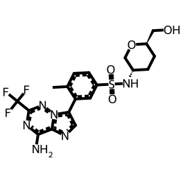 Cc1ccc(S(=O)(=O)N[C@H]2CC[C@H](CO)OC2)cc1-c1cnc2c(N)nc(C(F)(F)F)nn12